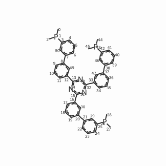 CP(C)c1cccc(-c2cccc(-c3nc(-c4cccc(-c5cccc(P(C)C)c5)c4)nc(-c4cccc(-c5cccc(P(C)C)c5)c4)n3)c2)c1